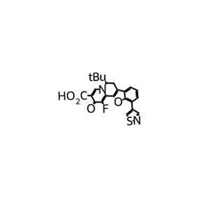 CC(C)(C)C1Cc2c(oc3c(-c4cnsc4)cccc23)-c2c(F)c(=O)c(C(=O)O)cn21